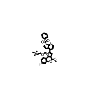 COC(=O)c1cc(-c2ccnc3c2ccn3S(=O)(=O)c2ccccc2)n(COCC[Si](C)(C)C)c1-c1ccc(F)cc1F